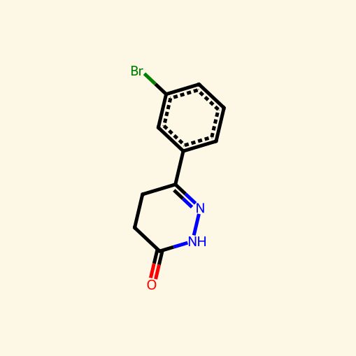 O=C1CCC(c2cccc(Br)c2)=NN1